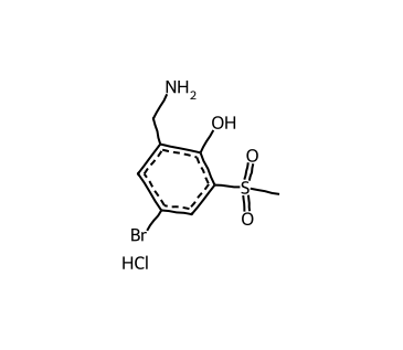 CS(=O)(=O)c1cc(Br)cc(CN)c1O.Cl